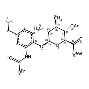 CCCC(=O)Nc1cc(CO)ccc1O[C@@H]1O[C@H](C(=O)OC)[C@@H](OC(C)=O)[C@H](C)[C@H]1C